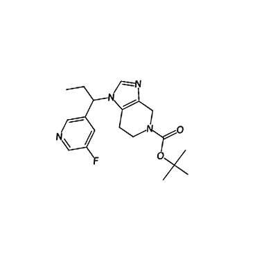 CCC(c1cncc(F)c1)n1cnc2c1CCN(C(=O)OC(C)(C)C)C2